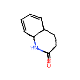 O=C1CCC2C=[C]C=CC2N1